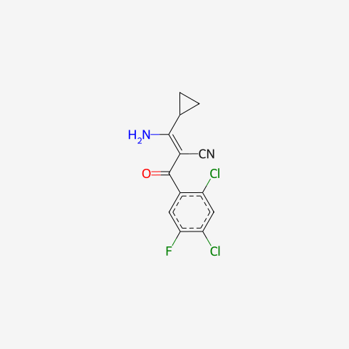 N#CC(C(=O)c1cc(F)c(Cl)cc1Cl)=C(N)C1CC1